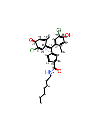 CCCCCCCNC(=O)c1ccc(/C(=C2\C=C(Cl)C(=O)C=C2C)c2cc(Cl)c(O)cc2C)cc1